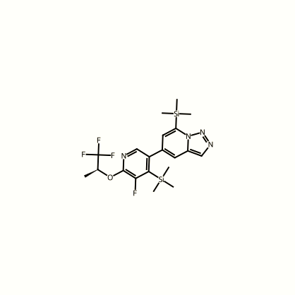 C[C@H](Oc1ncc(-c2cc([Si](C)(C)C)n3nncc3c2)c([Si](C)(C)C)c1F)C(F)(F)F